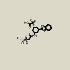 CN(C)S(=O)(=O)CC(=O)NC1CCCC(c2nc3ccccc3[nH]2)C1.O=C(O)C(F)(F)F